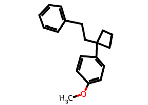 COc1ccc(C2(CCc3ccccc3)CCC2)cc1